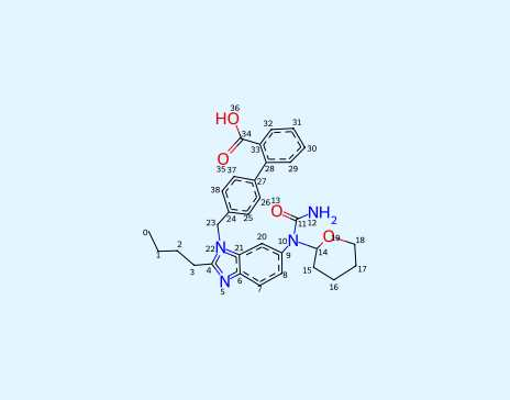 CCCCc1nc2ccc(N(C(N)=O)C3CCCCO3)cc2n1Cc1ccc(-c2ccccc2C(=O)O)cc1